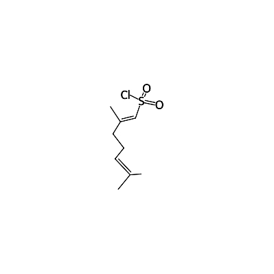 CC(C)=CCCC(C)=CS(=O)(=O)Cl